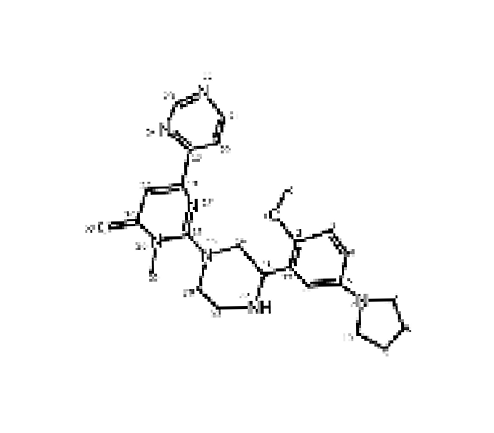 COc1ccc(N2CCCC2)cc1C1CN(c2nc(-c3ccncn3)cc(=O)n2C)CCN1